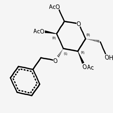 CC(=O)OC1O[C@H](CO)[C@@H](OC(C)=O)[C@H](OCc2ccccc2)[C@H]1OC(C)=O